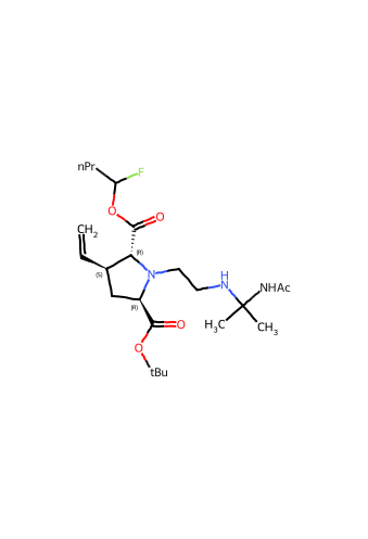 C=C[C@@H]1C[C@H](C(=O)OC(C)(C)C)N(CCNC(C)(C)NC(C)=O)[C@H]1C(=O)OC(F)CCC